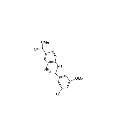 COC(=O)c1ccc(NCc2cc(Cl)cc(OC)c2)c(N)c1